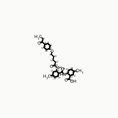 CCC(=O)c1ccc(OCCCCC(=O)Nc2cc(C)ccc2C(=O)Nc2ccc(C)cc2C(=O)O)cc1